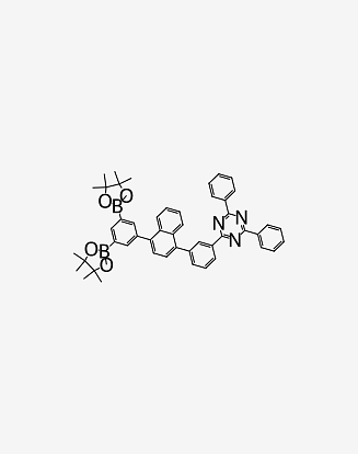 CC1(C)OB(c2cc(B3OC(C)(C)C(C)(C)O3)cc(-c3ccc(-c4cccc(-c5nc(-c6ccccc6)nc(-c6ccccc6)n5)c4)c4ccccc34)c2)OC1(C)C